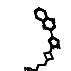 OCCCC1CC(n2cc(-c3cnc4ccccc4n3)cn2)C1